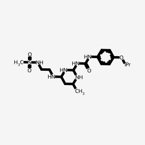 CC1CC(NCCNS(C)(=O)=O)NC(NC(=O)Nc2ccc(OC(C)C)cc2)N1